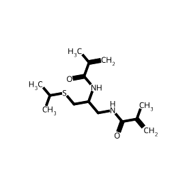 C=C(C)C(=O)NCC(CSC(C)C)NC(=O)C(=C)C